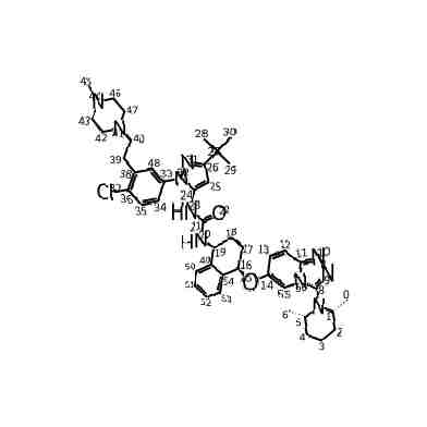 C[C@@H]1CCC[C@H](C)N1c1nnc2ccc(O[C@@H]3CC[C@H](NC(=O)Nc4cc(C(C)(C)C)nn4-c4ccc(Cl)c(CCN5CCN(C)CC5)c4)c4ccccc43)cn12